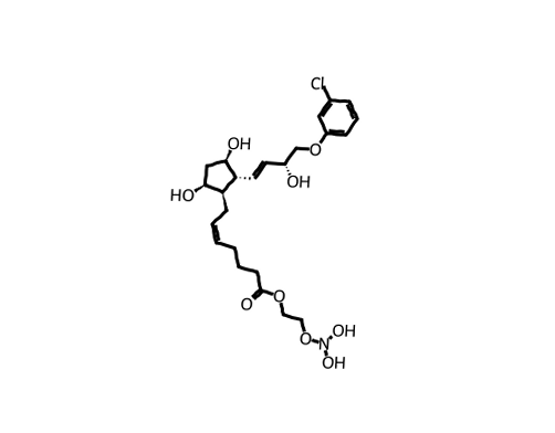 O=C(CCC/C=C\C[C@@H]1[C@@H](/C=C/[C@@H](O)COc2cccc(Cl)c2)[C@H](O)C[C@@H]1O)OCCON(O)O